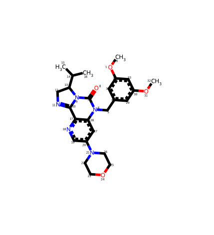 COc1cc(CN2C(=O)N3C(=NCC3C(C)C)c3ncc(N4CCOCC4)cc32)cc(OC)c1